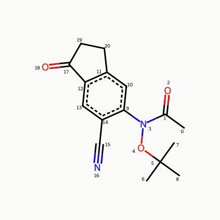 CC(=O)N(OC(C)(C)C)c1cc2c(cc1C#N)C(=O)CC2